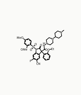 CCOc1ccccc1C1(C(=O)NN2CCN(C3CCN(C)CC3)CC2)C(=O)N(S(=O)(=O)c2ccc(OC)cc2OC)c2cc(F)c(C#N)cc21